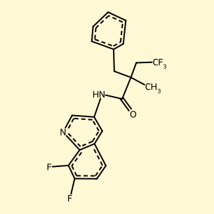 CC(Cc1ccccc1)(CC(F)(F)F)C(=O)Nc1cnc2c(F)c(F)ccc2c1